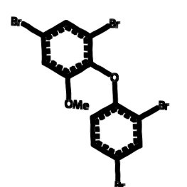 COc1cc(Br)cc(Br)c1Oc1ccc(Br)cc1Br